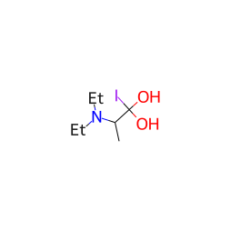 CCN(CC)C(C)C(O)(O)I